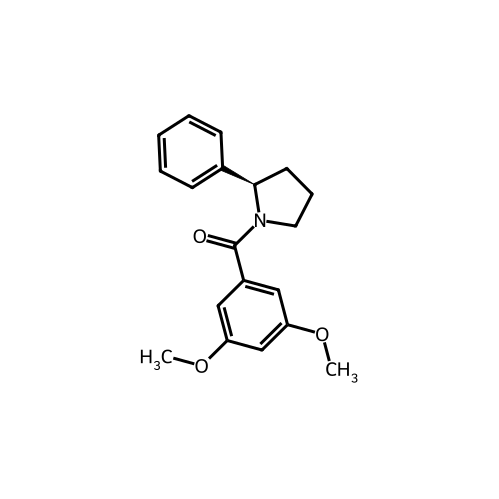 COc1cc(OC)cc(C(=O)N2CCC[C@@H]2c2ccccc2)c1